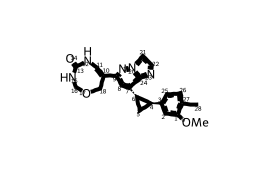 COc1cc([C@H]2C[C@@H]2c2cc(/C3=C/NC(=O)NCOC3)nn3ccnc23)ccc1C